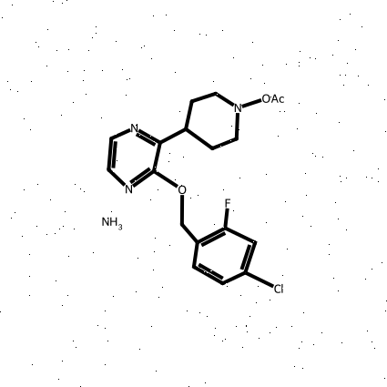 CC(=O)ON1CCC(c2nccnc2OCc2ccc(Cl)cc2F)CC1.N